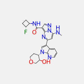 CNc1cc(-c2cn([C@H]3CCOC[C@@H]3O)c3ncccc23)nc2c(C(=O)N[C@@H]3CC[C@H]3F)cnn12